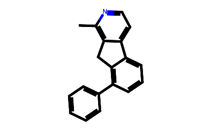 Cc1nccc2c1Cc1c(-c3ccccc3)cccc1-2